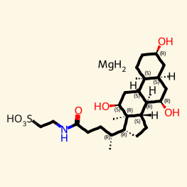 C[C@H](CCC(=O)NCCS(=O)(=O)O)[C@H]1CC[C@H]2[C@@H]3[C@H](O)C[C@@H]4C[C@H](O)CC[C@]4(C)[C@H]3C[C@H](O)[C@]12C.[MgH2]